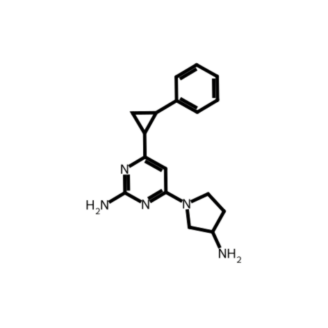 Nc1nc(C2CC2c2ccccc2)cc(N2CCC(N)C2)n1